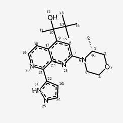 C[C@@H]1COCCN1c1cc(C(C)(O)C(C)(C)C)c2ccnc(-c3ccn[nH]3)c2n1